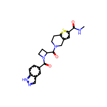 CNC(=O)c1cc2c(s1)CCN(C(=O)C1CCN1C(=O)c1ccc3[nH]ncc3c1)C2